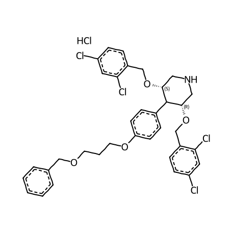 Cl.Clc1ccc(CO[C@H]2CNC[C@@H](OCc3ccc(Cl)cc3Cl)C2c2ccc(OCCCOCc3ccccc3)cc2)c(Cl)c1